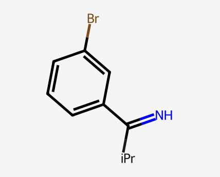 CC(C)C(=N)c1cccc(Br)c1